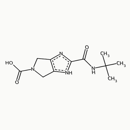 CC(C)(C)NC(=O)c1nc2c([nH]1)CN(C(=O)O)C2